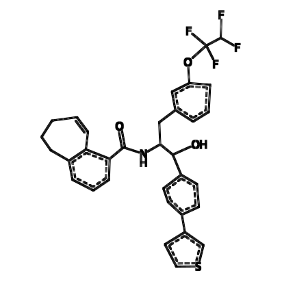 O=C(NC(Cc1cccc(OC(F)(F)C(F)F)c1)C(O)c1ccc(-c2ccsc2)cc1)c1cccc2c1C=CCCC2